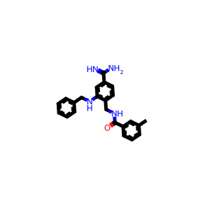 Cc1cccc(C(=O)NCc2ccc(C(=N)N)cc2NCc2ccccc2)c1